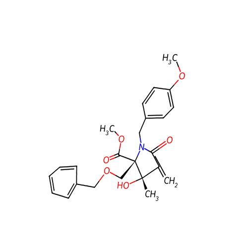 C=C1C(=O)N(Cc2ccc(OC)cc2)[C@@](COCc2ccccc2)(C(=O)OC)[C@@]1(C)O